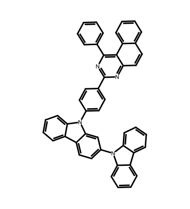 c1ccc(-c2nc(-c3ccc(-n4c5ccccc5c5ccc(-n6c7ccccc7c7ccccc76)cc54)cc3)nc3ccc4ccccc4c23)cc1